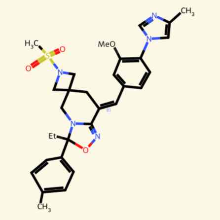 CCC1(c2ccc(C)cc2)ON=C2/C(=C/c3ccc(-n4cnc(C)c4)c(OC)c3)CC3(CN21)CN(S(C)(=O)=O)C3